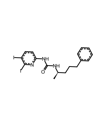 C[C@H](CCCc1ccccc1)NC(=O)Nc1ccc(I)c(I)n1